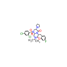 CC(C)N1CC2N(C(=O)C(N3CCCC3)CN2S(=O)(=O)c2ccc(Cl)cc2Cl)C(Cc2ccc(F)cc2)C1=O